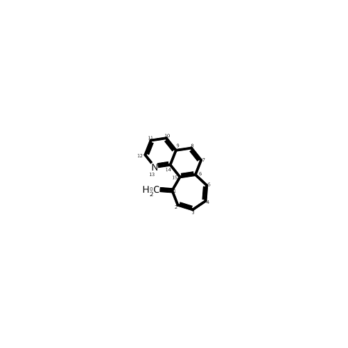 C=C1C=CC=Cc2ccc3cccnc3c21